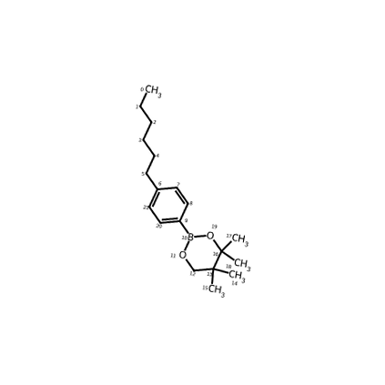 CCCCCCc1ccc(B2OCC(C)(C)C(C)(C)O2)cc1